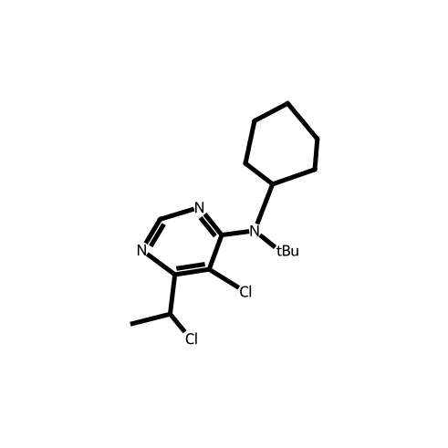 CC(Cl)c1ncnc(N(C2CCCCC2)C(C)(C)C)c1Cl